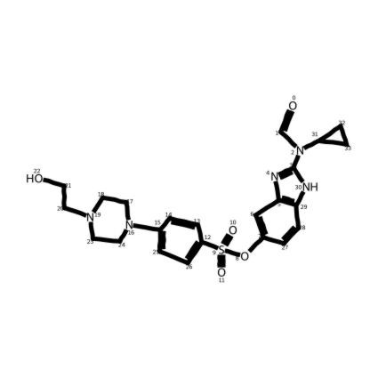 O=CN(c1nc2cc(OS(=O)(=O)c3ccc(N4CCN(CCO)CC4)cc3)ccc2[nH]1)C1CC1